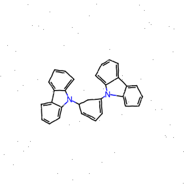 C1=CC(n2c3ccccc3c3ccccc32)CC(n2c3ccccc3c3ccccc32)=C1